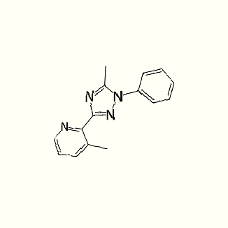 Cc1cccnc1-c1nc(C)n(-c2ccccc2)n1